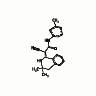 Cc1cccc(NC(=O)C(C#N)=C2NC(C)(C)Cc3ccccc32)c1